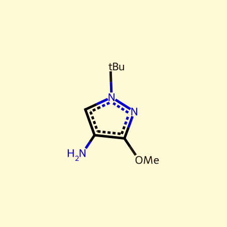 COc1nn(C(C)(C)C)cc1N